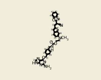 CN(CCOC(=O)NCc1ccc(COc2nc(N)nc3[nH]cnc23)cc1)c1ccc2cc(/C=C(\C#N)c3nc4ccccc4o3)sc2c1